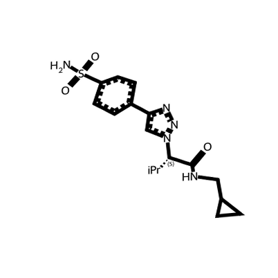 CC(C)[C@@H](C(=O)NCC1CC1)n1cc(-c2ccc(S(N)(=O)=O)cc2)nn1